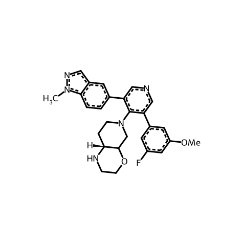 COc1cc(F)cc(-c2cncc(-c3ccc4c(cnn4C)c3)c2N2CC[C@H]3NCCOC3C2)c1